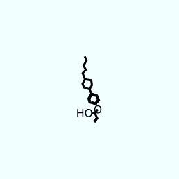 C=CC(O)Oc1ccc(C2CCC(CCCCC)CC2)cc1